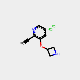 C#Cc1ncccc1OC1CNC1.Cl.Cl